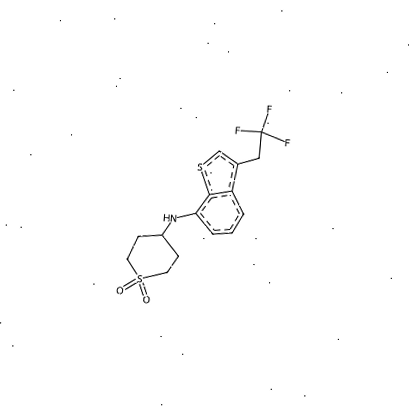 O=S1(=O)CCC(Nc2cccc3c(CC(F)(F)F)csc23)CC1